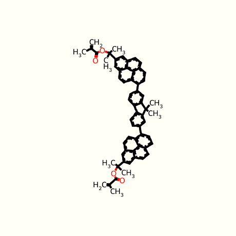 C=C(C)C(=O)OC(C)(C)c1cc2ccc3ccc(-c4ccc5c(c4)C(C)(C)c4cc(-c6ccc7ccc8cc(C(C)(C)OC(=O)C(=C)C)cc9ccc6c7c89)ccc4-5)c4ccc(c1)c2c34